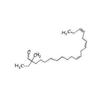 CC/C=C\C/C=C\C/C=C\CCCCCCCCC(C)(C=O)CC